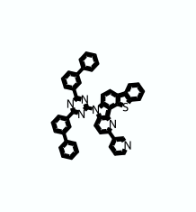 c1ccc(-c2cccc(-c3nc(-c4cccc(-c5ccccc5)c4)nc(-n4c5ccc(-c6cccnc6)nc5c5c6sc7ccccc7c6ccc54)n3)c2)cc1